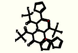 O=C(c1cccs1)[CH](C(=O)C(F)(F)F)[Eu]([CH](C(=O)c1cccs1)C(=O)C(F)(F)F)[CH](C(=O)c1cccs1)C(=O)C(F)(F)F